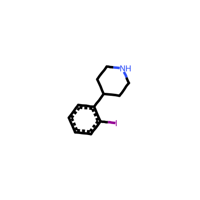 Ic1ccccc1C1CCNCC1